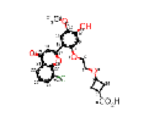 O=C(O)C1CC(OCCOc2cc(O)c(OC(F)(F)F)cc2-c2cc(=O)c3cccc(Cl)c3o2)C1